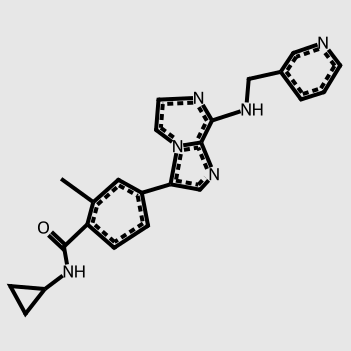 Cc1cc(-c2cnc3c(NCc4cccnc4)nccn23)ccc1C(=O)NC1CC1